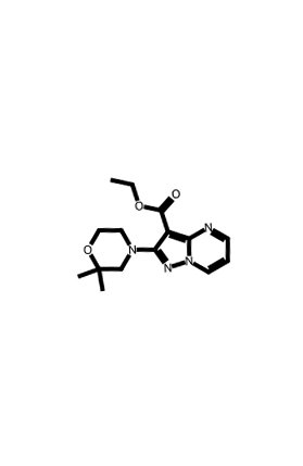 CCOC(=O)c1c(N2CCOC(C)(C)C2)nn2cccnc12